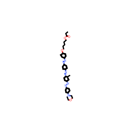 CCC(=O)OCCCCCOc1ccc(N=Nc2ccc(N=Nc3ccc(N=Nc4ccc(N5CCOCC5)cc4)cc3C)cc2)cc1